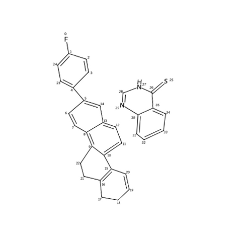 Fc1ccc(-c2ccc3c4c(ccc3c2)C2=C(CCC=C2)CC4)cc1.S=c1[nH]cnc2ccccc12